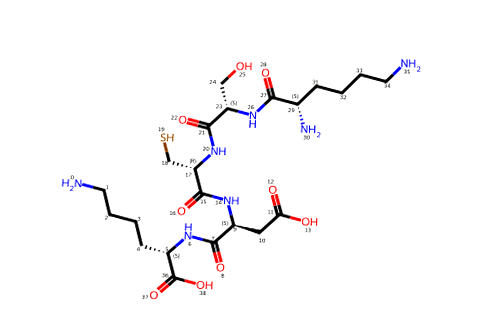 NCCCC[C@H](NC(=O)[C@H](CC(=O)O)NC(=O)[C@H](CS)NC(=O)[C@H](CO)NC(=O)[C@@H](N)CCCCN)C(=O)O